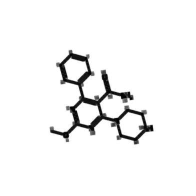 COc1nc(-c2ccccc2)c(C(N)=O)c(N2CCNCC2)n1